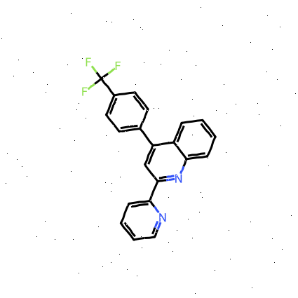 FC(F)(F)c1ccc(-c2cc(-c3ccccn3)nc3ccccc23)cc1